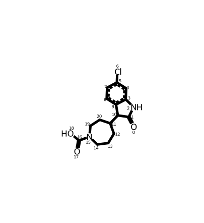 O=C1Nc2cc(Cl)ccc2C1C1CCCN(C(=O)O)CC1